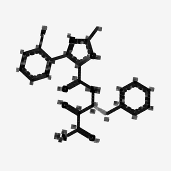 Cc1nc(-c2ccccc2F)c(C(=O)N[C@H](Cc2ccccc2)C(=O)C(N)=O)o1